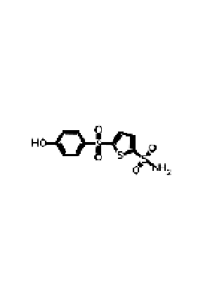 NS(=O)(=O)c1ccc(S(=O)(=O)c2ccc(O)cc2)s1